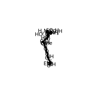 CCN1C(=O)N[C@H]2CS[C@@H](CCCCC(=O)NCCOCCOCCOCCOCCC(=O)N[C@@H](CCCCNC(=O)c3ccc(-c4c5ccc(=N)c(S(=O)(=O)O)c-5oc5c(S(=O)(=O)O)c(N)ccc45)c(C(=O)O)c3)C(=O)OC)[C@H]21